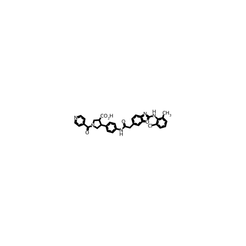 Cc1cccc(Cl)c1Nc1nc2ccc(CC(=O)Nc3ccc(C4CN(C(=O)c5ccncc5)CC4C(=O)O)cc3)cc2o1